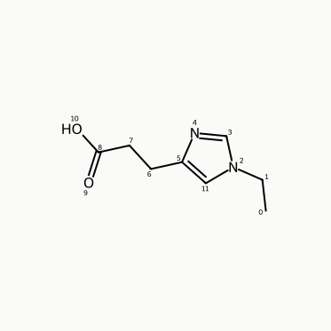 CCn1cnc(CCC(=O)O)c1